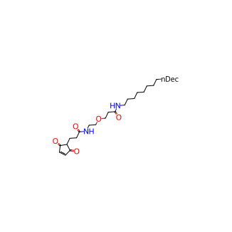 CCCCCCCCCCCCCCCCCCNC(=O)CCOCCNC(=O)CCC1C(=O)C=CC1=O